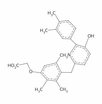 Cc1ccc(-c2nc(Cc3c(C)cc(OCC(=O)O)c(C)c3C)ccc2O)cc1C